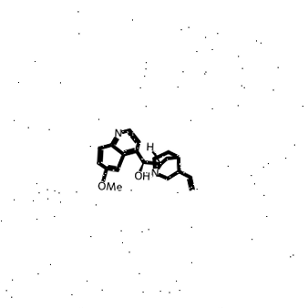 C=CC1CN2CCC1C[C@H]2[C@@H](O)c1ccnc2ccc(OC)cc12